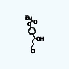 CCC(C)C(=O)Oc1ccc(C(O)CCCCl)cc1